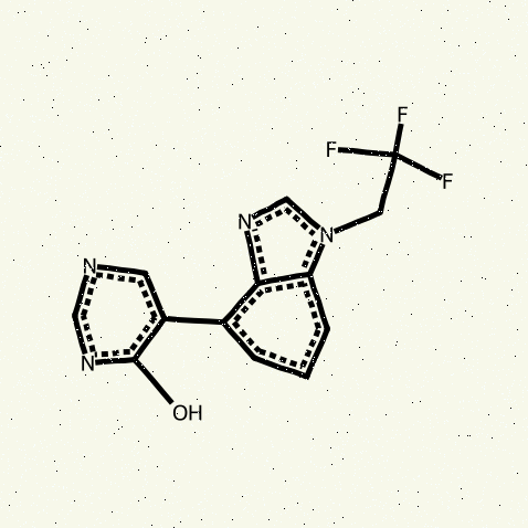 Oc1ncncc1-c1cccc2c1ncn2CC(F)(F)F